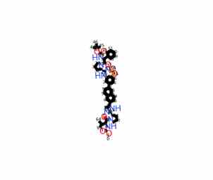 COC(=O)N[C@H](C(=O)N1CCC[C@H]1c1ncc(-c2ccc3cc(-c4ccc5c(c4)NC([C@@H]4CCCN4C(=O)[C@H](NC(=O)OC(C)(C)C)c4ccccc4)=NS5(=O)=O)ccc3c2)[nH]1)C(C)C